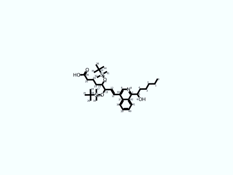 CCCCCC(O)c1ncc(C=CC(O[Si](C)(C)C(C)(C)C)C(CCCC(=O)O)O[Si](C)(C)C(C)(C)C)c2ccccc12